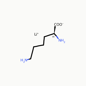 NCCCC[C@H](N)C(=O)[O-].[Li+]